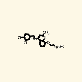 CC(=O)NCCOc1cccc2c(NCc3ccc(Cl)c(Cl)c3)cc(C)nc12